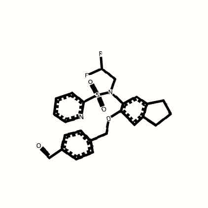 O=Cc1ccc(COc2cc3c(cc2N(CC(F)F)S(=O)(=O)c2ccccn2)CCC3)cc1